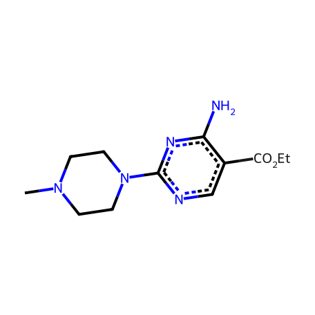 CCOC(=O)c1cnc(N2CCN(C)CC2)nc1N